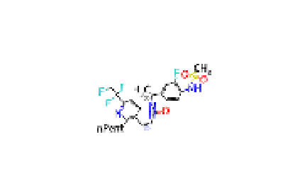 CCCCCc1nc(C(F)(F)CF)ccc1/C=C\C(=O)N[C@H](C)c1ccc(NS(C)(=O)=O)c(F)c1